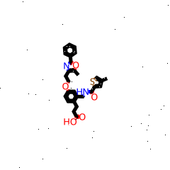 Cc1csc(C(=O)NCc2cc(OCCc3nc(-c4ccccc4)oc3C)ccc2CCC(=O)O)c1